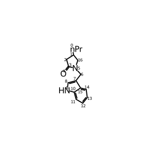 CCCC1CC(=O)N(Cc2c[nH]c3ccccc23)C1